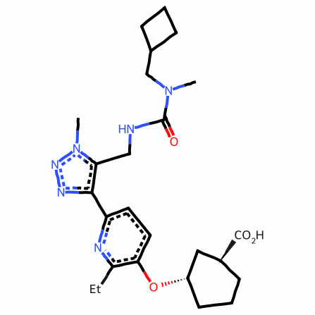 CCc1nc(-c2nnn(C)c2CNC(=O)N(C)CC2CCC2)ccc1O[C@H]1CCC[C@H](C(=O)O)C1